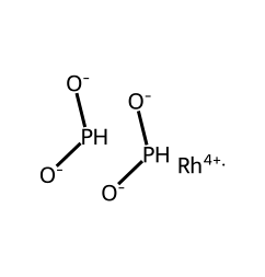 [O-]P[O-].[O-]P[O-].[Rh+4]